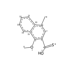 COc1c(C(O)=S)cc(C)c2ccccc12